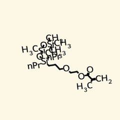 C=C(C)C(=O)OCCOCCC[Si](CCC)(CCC)O[Si](C)(C)O[Si](C)(C)C